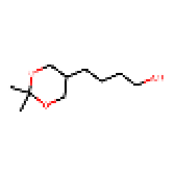 CC1(C)OCC(CCCCO)CO1